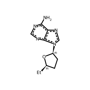 CC[C@@H]1CC[C@H](n2cnc3c(N)ncnc32)O1